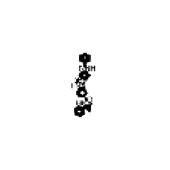 O=C(NC1(c2ccccc2)CC1)[C@H]1CC[C@H](NS(=O)(=O)c2ccc3[nH]c(-c4ccccc4)nc3c2)CC1